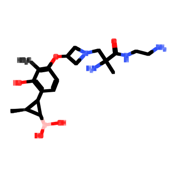 C[C@@H]1C(B(O)O)C1c1ccc(OC2CN(CC(C)(N)C(=O)NCCN)C2)c(C(=O)O)c1O